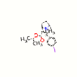 CC(C)OC(=O)[C@@H]1C2CCC(C[C@@H]1c1ccc(I)cc1)N2C